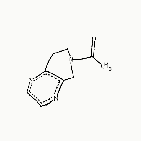 CC(=O)N1CCc2nccnc2C1